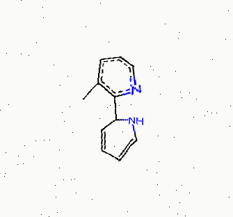 Cc1cccnc1C1C=CC=CN1